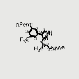 CCCCCc1cc(-c2c[nH]nc2CN(C)CCNC)cc(C(F)(F)F)c1